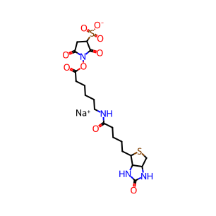 O=C(CCCCC1SCC2NC(=O)NC21)NCCCCCC(=O)ON1C(=O)CC(S(=O)(=O)[O-])C1=O.[Na+]